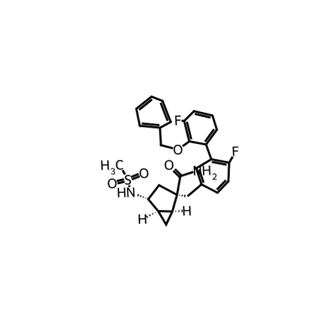 CS(=O)(=O)N[C@@H]1C[C@@](Cc2ccc(F)c(-c3cccc(F)c3OCc3ccccc3)c2)(C(N)=O)[C@H]2C[C@@H]12